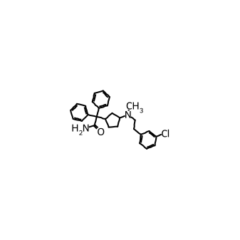 CN(CCc1cccc(Cl)c1)C1CCC(C(C(N)=O)(c2ccccc2)c2ccccc2)C1